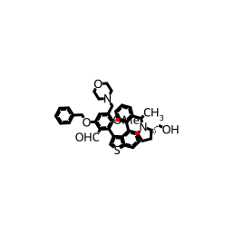 COc1c(CN2CCOCC2)cc(OCc2ccccc2)c(C=O)c1-c1csc2cccc(-c3ccccc3C(C)N3CCC[C@H]3CO)c12